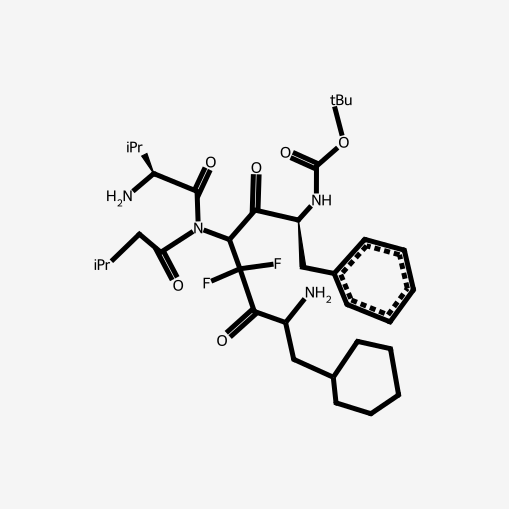 CC(C)CC(=O)N(C(=O)[C@@H](N)C(C)C)C(C(=O)[C@H](Cc1ccccc1)NC(=O)OC(C)(C)C)C(F)(F)C(=O)C(N)CC1CCCCC1